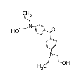 C=CCN(CCO)c1ccc(C(=O)c2ccc(N(CC=C)CCO)cc2)cc1